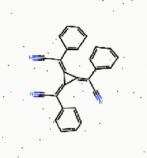 N#CC(=C1C(=C(C#N)c2ccccc2)C1=C(C#N)c1ccccc1)c1ccccc1